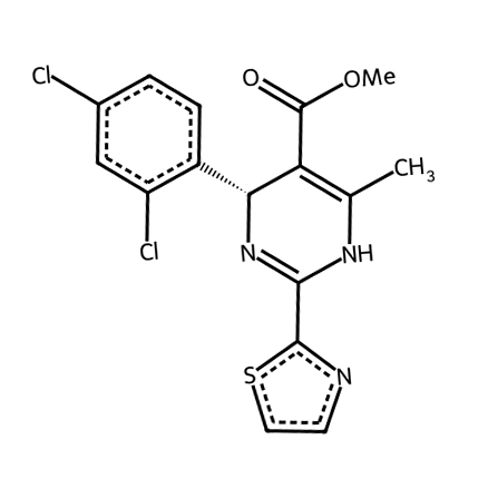 COC(=O)C1=C(C)NC(c2nccs2)=N[C@@H]1c1ccc(Cl)cc1Cl